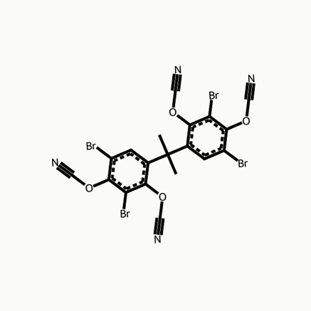 CC(C)(c1cc(Br)c(OC#N)c(Br)c1OC#N)c1cc(Br)c(OC#N)c(Br)c1OC#N